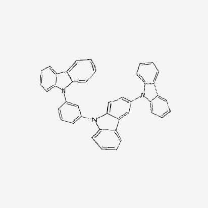 c1cc(-n2c3ccccc3c3ccccc32)cc(-n2c3ccccc3c3cc(-n4c5ccccc5c5ccccc54)ccc32)c1